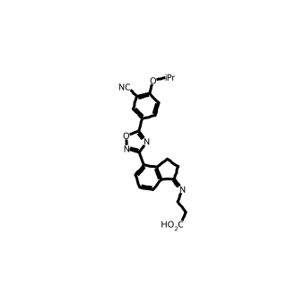 CC(C)Oc1ccc(-c2nc(-c3cccc4c3CC/C4=N/CCC(=O)O)no2)cc1C#N